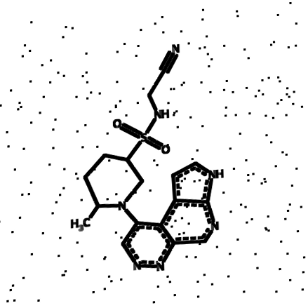 CC1CCC(S(=O)(=O)NCC#N)CN1c1cnnc2cnc3[nH]ccc3c12